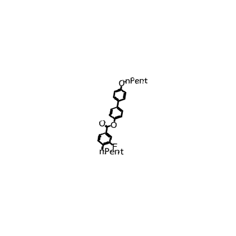 CCCCCOc1ccc(-c2ccc(OC(=O)c3ccc(CCCCC)c(F)c3)cc2)cc1